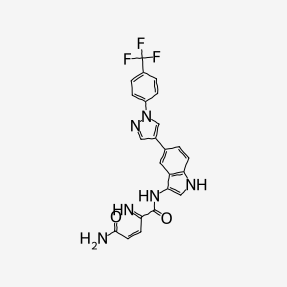 N=C(/C=C\C(N)=O)C(=O)Nc1c[nH]c2ccc(-c3cnn(-c4ccc(C(F)(F)F)cc4)c3)cc12